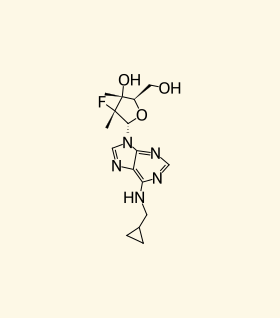 C[C@]1(F)[C@@H](n2cnc3c(NCC4CC4)ncnc32)O[C@H](CO)[C@@]1(C)O